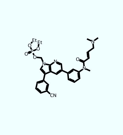 CCOP(=O)(OCC)OCn1cc(-c2cccc(C#N)c2)c2cc(-c3cccc(N(C)C(=O)C=CCN(C)C)c3)cnc21